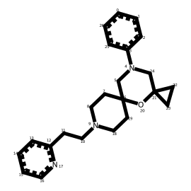 c1ccc(N2CC3(CCN(CCc4ccccn4)CC3)OC3(CC3)C2)cc1